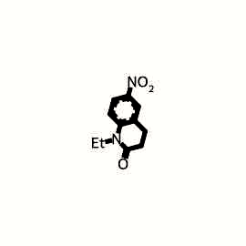 CCN1C(=O)CCc2cc([N+](=O)[O-])ccc21